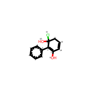 OC1=C(c2ccccc2)C(O)(Cl)CC=C1